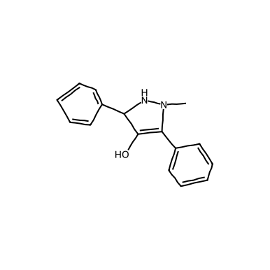 CN1NC(c2ccccc2)C(O)=C1c1ccccc1